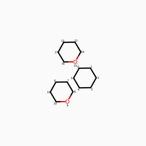 C1CCCCC1.C1CCOCC1.C1CCOCC1